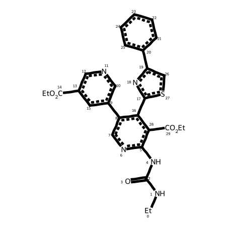 CCNC(=O)Nc1ncc(-c2cncc(C(=O)OCC)c2)c(-c2nc(-c3ccccc3)cs2)c1C(=O)OCC